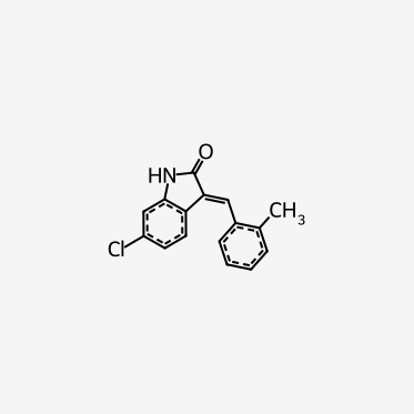 Cc1ccccc1C=C1C(=O)Nc2cc(Cl)ccc21